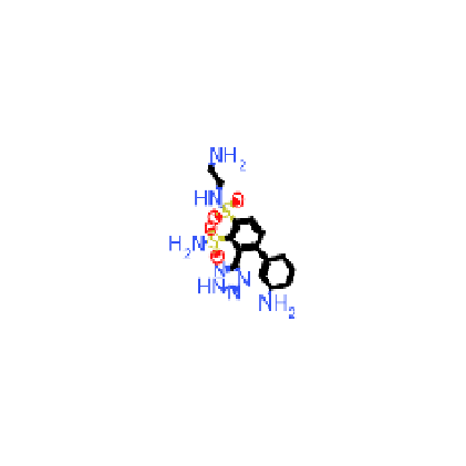 NCCNS(=O)(=O)c1ccc(C2=C[C@H](N)CCC2)c(-c2nn[nH]n2)c1S(N)(=O)=O